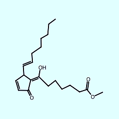 CCCCCCC=CC1C=CC(=O)C1=C(O)CCCCCC(=O)OC